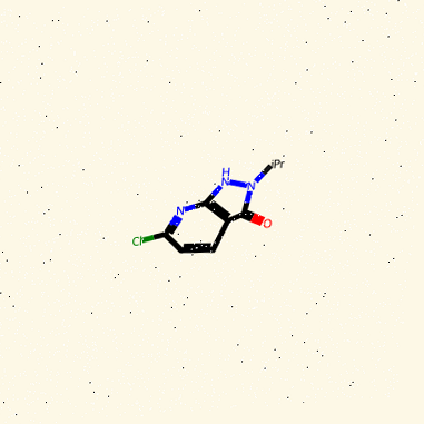 CC(C)n1[nH]c2nc(Cl)ccc2c1=O